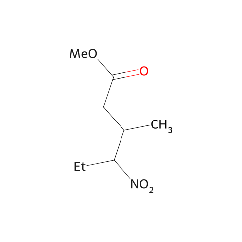 CCC(C(C)CC(=O)OC)[N+](=O)[O-]